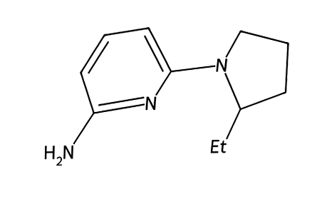 CCC1CCCN1c1cccc(N)n1